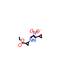 CCOC(=O)C1CC1n1cc([N+](=O)[O-])c(C2CC2)n1